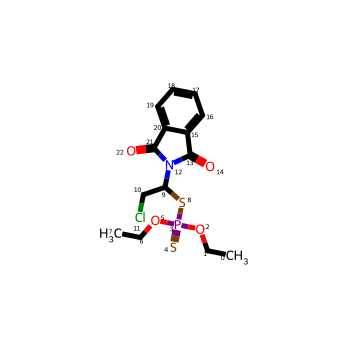 CCOP(=S)(OCC)SC(CCl)N1C(=O)c2ccccc2C1=O